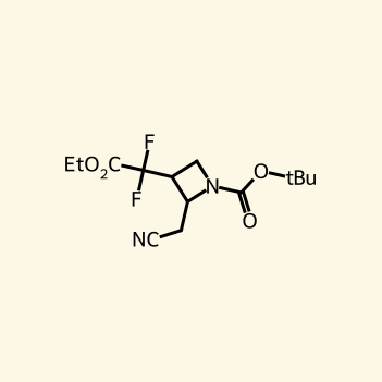 CCOC(=O)C(F)(F)C1CN(C(=O)OC(C)(C)C)C1CC#N